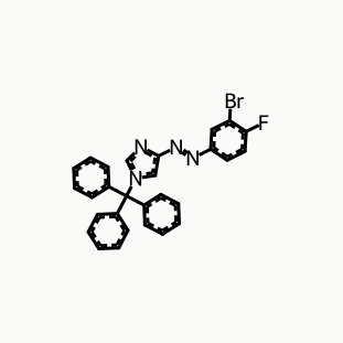 Fc1ccc(N=Nc2cn(C(c3ccccc3)(c3ccccc3)c3ccccc3)cn2)cc1Br